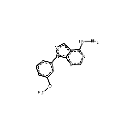 NNc1ncnc2c1cnn2-c1cccc(OC(F)(F)F)c1